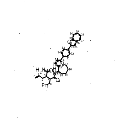 C=CCC(C(N)=O)C(CC(C)C)C(=O)NC1CCCCn2c(-c3ccc(-c4cc5ccccc5o4)cc3)nnc21